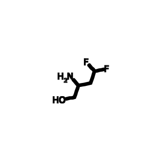 NC(CO)CC(F)F